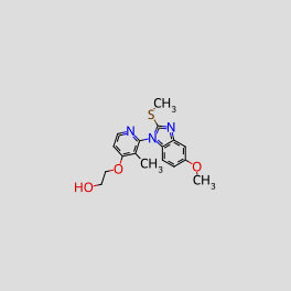 COc1ccc2c(c1)nc(SC)n2-c1nccc(OCCO)c1C